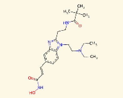 CCN(CC)CCn1c(CCNC(=O)C(C)(C)C)nc2cc(/C=C/C(=O)NO)ccc21